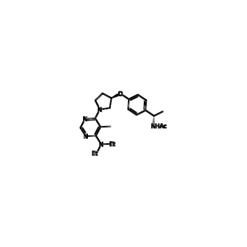 CCN(CC)c1ncnc(N2CC[C@@H](Oc3ccc([C@H](C)NC(C)=O)cc3)C2)c1C